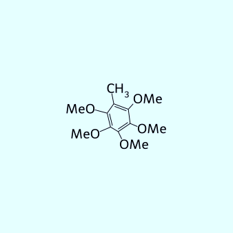 COc1c(C)c(OC)c(OC)c(OC)c1OC